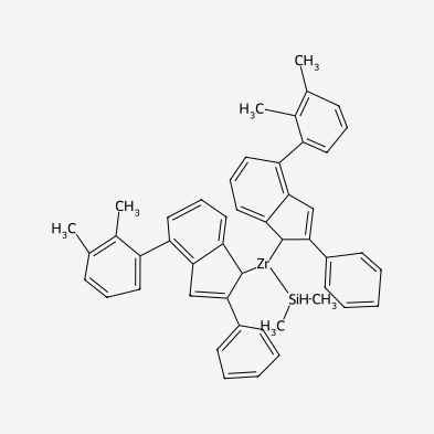 Cc1cccc(-c2cccc3c2C=C(c2ccccc2)[CH]3[Zr]([CH]2C(c3ccccc3)=Cc3c(-c4cccc(C)c4C)cccc32)[SiH](C)C)c1C